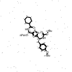 CCCCC[C@H](NC(=O)C1CCCCC1)c1nnc([C@H](Cc2ccc(OC(C)(C)C)cc2)NC(=O)OC(C)(C)C)o1